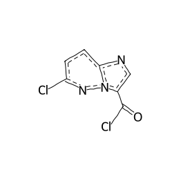 O=C(Cl)c1cnc2ccc(Cl)nn12